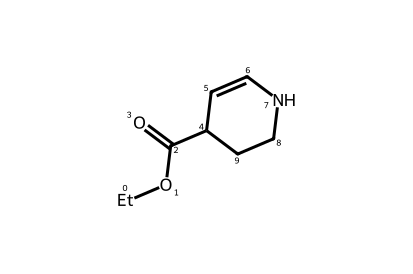 CCOC(=O)C1C=CNCC1